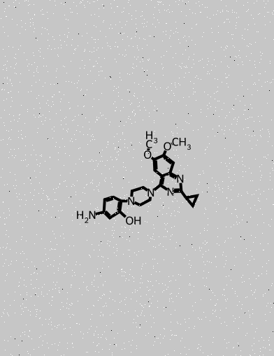 COc1cc2nc(C3CC3)nc(N3CCN(c4ccc(N)cc4O)CC3)c2cc1OC